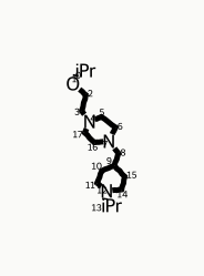 CC(C)OCCN1CCN(CC2CCN(C(C)C)CC2)CC1